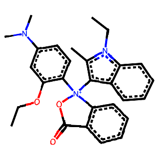 CCOc1cc(N(C)C)ccc1[N+]1(c2c(C)n(CC)c3ccccc23)OC(=O)c2ccccc21